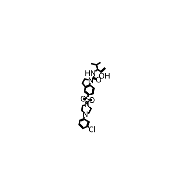 C=C(O)C(NC(=O)N1CCc2cc(S(=O)(=O)N3CCN(c4cccc(Cl)c4)CC3)ccc21)C(C)C